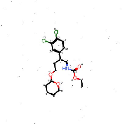 CCOC(=O)NCC(CCOC1CCCCO1)c1ccc(Cl)c(Cl)c1